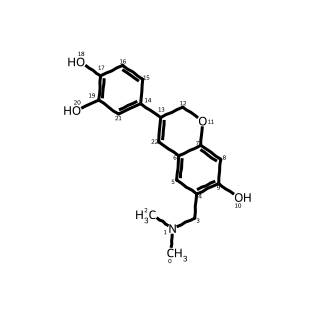 CN(C)Cc1cc2c(cc1O)OCC(c1ccc(O)c(O)c1)=C2